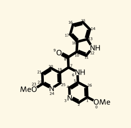 COc1cncc(NC(C(=O)c2c[nH]c3ccccc23)c2ccc(OC)nc2)c1